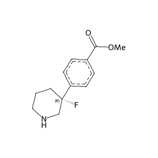 COC(=O)c1ccc([C@]2(F)CCCNC2)cc1